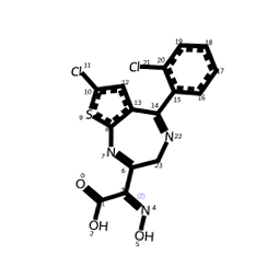 O=C(O)/C(=N\O)C1=Nc2sc(Cl)cc2C(c2ccccc2Cl)=NC1